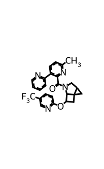 Cc1ccc(-c2ccccn2)c(C(=O)N2CC3CC34CC(Oc3ccc(C(F)(F)F)cn3)C24)n1